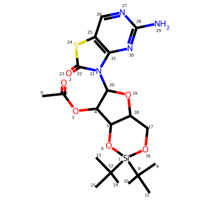 CC(=O)OC1C2O[Si](C(C)(C)C)(C(C)(C)C)OCC2OC1n1c(=O)sc2cnc(N)nc21